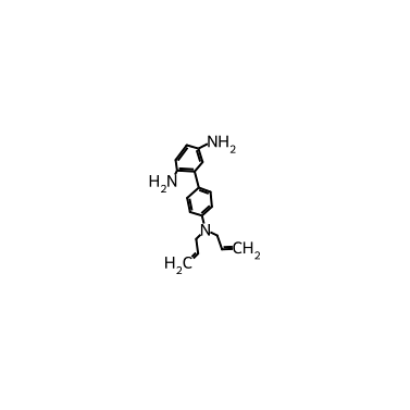 C=CCN(CC=C)c1ccc(-c2cc(N)ccc2N)cc1